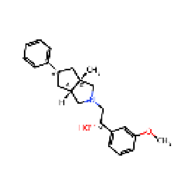 COc1cccc([C@H](O)CN2C[C@@H]3C[C@H](c4ccccc4)C[C@]3(C)C2)c1